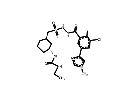 CCNC(=O)N[C@@H]1CCC[C@@H](CS(=O)(=O)NNC(=O)c2cc(-c3cn(C)cn3)cc(Cl)c2F)C1